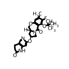 Cc1cc2c(c(OC(C)(C)C(F)(F)F)c1F)C(=O)N1C[C@@H](Oc3cc4c(cn3)CCC(=O)N4)C[C@@H]1CO2